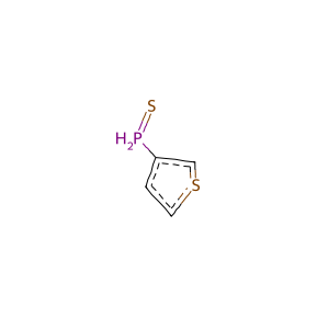 S=[PH2]c1ccsc1